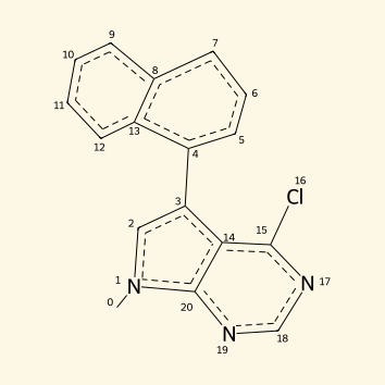 Cn1cc(-c2cccc3ccccc23)c2c(Cl)ncnc21